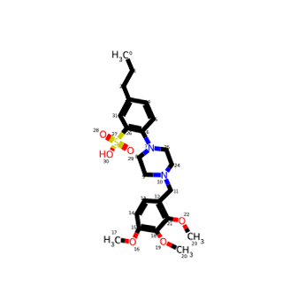 CCCc1ccc(N2CCN(Cc3ccc(OC)c(OC)c3OC)CC2)c(S(=O)(=O)O)c1